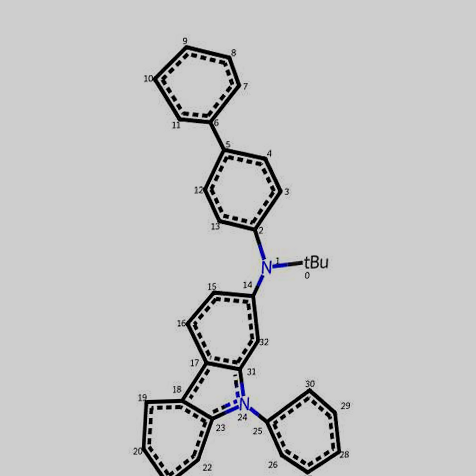 CC(C)(C)N(c1ccc(-c2ccccc2)cc1)c1ccc2c3ccccc3n(-c3ccccc3)c2c1